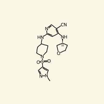 Cn1cc(S(=O)(=O)N2CCC(Nc3cc(N[C@H]4CCOC4)c(C#N)cn3)CC2)cn1